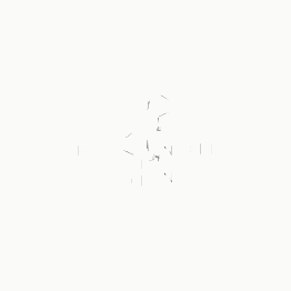 COc1ccc2c(c1)[C@H]1CNCCN1C[C@@H]2c1ccccc1.Cl.Cl